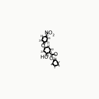 O=C(Oc1ccccc1)c1ccc(Oc2ccc([N+](=O)[O-])cc2)cc1O